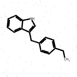 CCc1ccc(Cc2[c][nH]c3ccccc23)cc1